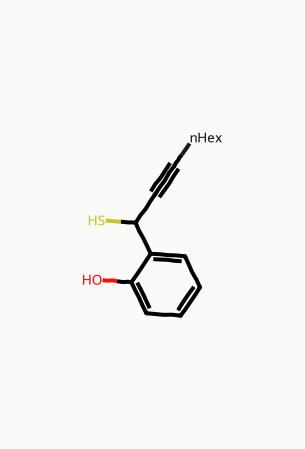 CCCCCCC#CC(S)c1ccccc1O